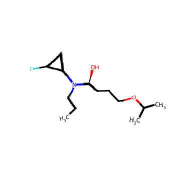 CCCN(C1CC1F)[C@@H](O)CCCOC(C)C